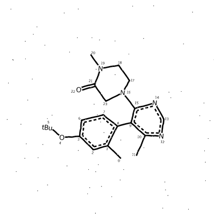 Cc1cc(OC(C)(C)C)ccc1-c1c(C)ncnc1N1CCN(C)C(=O)C1